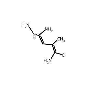 CC(/C=C(\N)NN)=C(/N)Cl